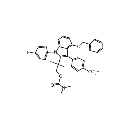 CN(C)C(=O)OCC(C)(C)c1c(-c2ccc(C(=O)O)cc2)c2c(OCc3ccccc3)cccc2n1-c1ccc(F)cc1